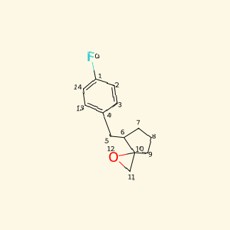 Fc1ccc(CC2CCCC23CO3)cc1